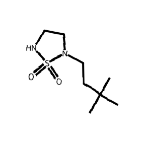 CC(C)(C)CCN1CCNS1(=O)=O